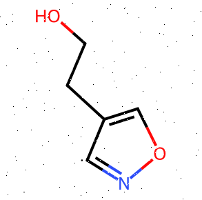 OCCc1[c]noc1